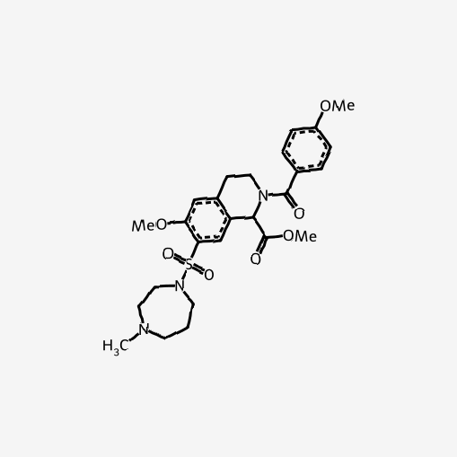 COC(=O)C1c2cc(S(=O)(=O)N3CCCN(C)CC3)c(OC)cc2CCN1C(=O)c1ccc(OC)cc1